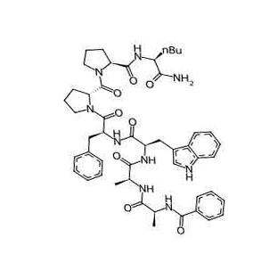 CCCC[C@H](NC(=O)[C@@H]1CCCN1C(=O)[C@H]1CCCN1C(=O)[C@H](Cc1ccccc1)NC(=O)[C@@H](Cc1c[nH]c2ccccc12)NC(=O)[C@H](C)NC(=O)[C@H](C)NC(=O)c1ccccc1)C(N)=O